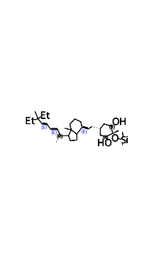 CCC(C)(/C=C/C=C/[C@@H](C)C1CCC2/C(=C/C[C@H]3C[C@@H](O)[C@@](C)(O[Si](C)(C)C)[C@H](O)C3)CCCC21C)CC